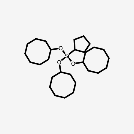 C1CCCC(O[Si](OC2CCCCCCC2)(OC2CCCCCCC2)C2CCCC2)CCC1